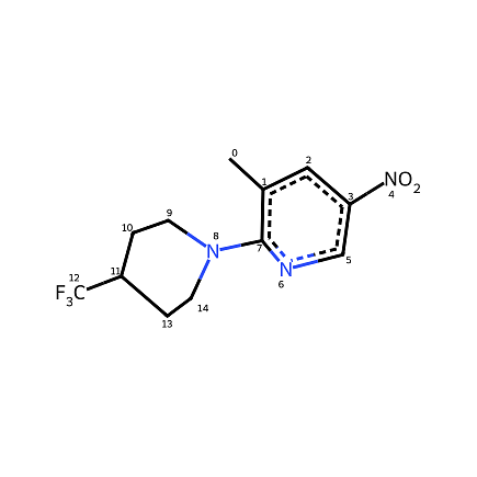 Cc1cc([N+](=O)[O-])cnc1N1CCC(C(F)(F)F)CC1